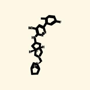 Cc1ccc(F)cc1-c1cc(C#N)c(NC2C[C@@H]3CN(C[C@H]4CC5CCC4O5)C[C@@H]3C2)nn1